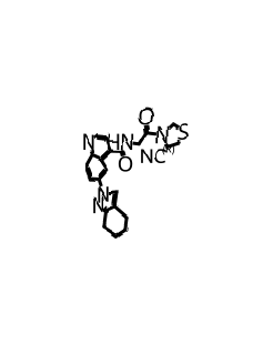 N#C[C@@H]1CSCN1C(=O)CNC(=O)c1ccnc2ccc(-n3cc4c(n3)CCCC4)cc12